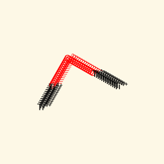 [O-2].[O-2].[O-2].[O-2].[O-2].[O-2].[O-2].[O-2].[O-2].[O-2].[O-2].[O-2].[O-2].[O-2].[O-2].[O-2].[O-2].[O-2].[O-2].[O-2].[O-2].[O-2].[O-2].[O-2].[O-2].[O-2].[O-2].[O-2].[O-2].[O-2].[Ti+4].[Ti+4].[Ti+4].[Ti+4].[Ti+4].[Ti+4].[Ti+4].[Ti+4].[Ti+4].[Ti+4].[Ti+4].[Ti+4].[Ti+4].[Ti+4].[Ti+4].[Ti+4].[Ti+4].[Ti+4].[Ti+4].[Ti+4].[Ti+4].[Ti+4].[Ti+4].[Ti+4].[Ti+4]